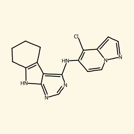 Clc1c(Nc2ncnc3[nH]c4c(c23)CCCC4)ccn2nccc12